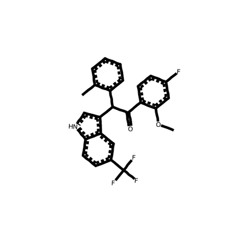 COc1cc(F)ccc1C(=O)C(c1ccccc1C)c1c[nH]c2ccc(C(F)(F)F)cc12